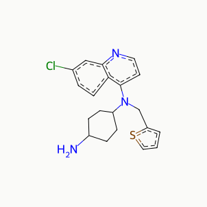 NC1CCC(N(Cc2cccs2)c2ccnc3cc(Cl)ccc23)CC1